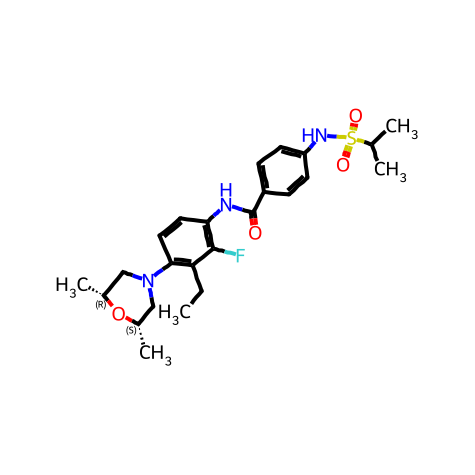 CCc1c(N2C[C@@H](C)O[C@@H](C)C2)ccc(NC(=O)c2ccc(NS(=O)(=O)C(C)C)cc2)c1F